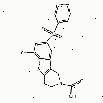 O=C(O)N1CCc2oc3c(Cl)cc(S(=O)(=O)c4ccccc4)cc3c2C1